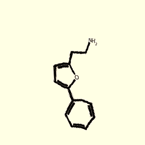 NCCc1ccc(-c2ccccc2)o1